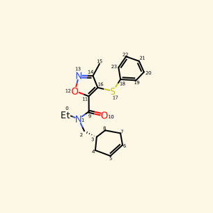 CCN(C[C@H]1CC=CCC1)C(=O)c1onc(C)c1Sc1ccccc1